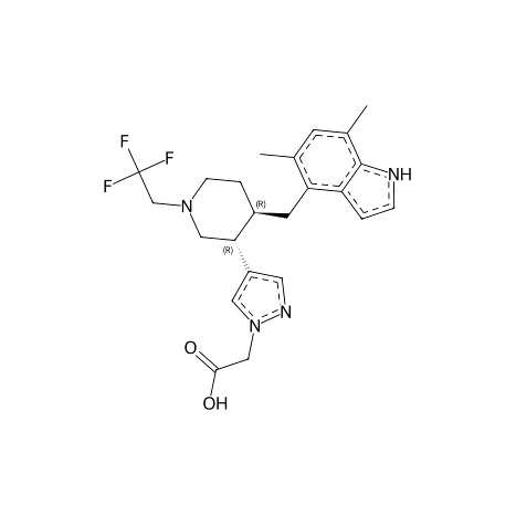 Cc1cc(C)c2[nH]ccc2c1C[C@@H]1CCN(CC(F)(F)F)C[C@H]1c1cnn(CC(=O)O)c1